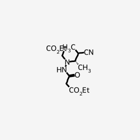 CCOC(=O)CC(=O)NN(CC(=O)OCC)[C@@H](C)C(C)C#N